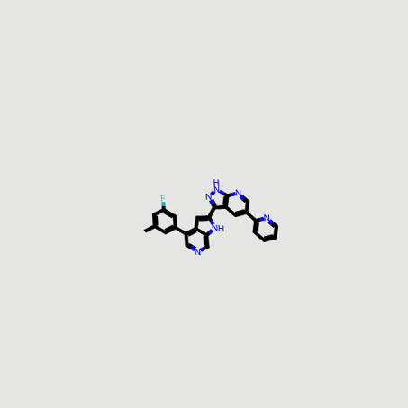 Cc1cc(F)cc(-c2cncc3[nH]c(-c4n[nH]c5ncc(-c6ccccn6)cc45)cc23)c1